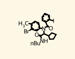 CCCCNC(=O)C(C1CCCC1)N(C(=O)c1ccccc1I)c1ccc(C)c(Br)c1